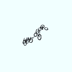 O=C(/C=C/c1ccc2c(c1)C(=O)CC1(CCCN(C(=O)c3ccccc3)CC1)O2)NOC1CCCCO1